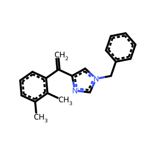 C=C(c1cn(Cc2ccccc2)cn1)c1cccc(C)c1C